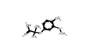 COc1cc(OC(C)(C)C(=O)O)ccc1C